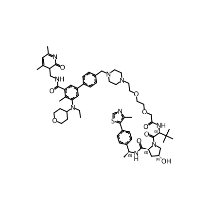 CCN(c1cc(-c2ccc(CN3CCN(CCOCCOCC(=O)N[C@H](C(=O)N4C[C@H](O)C[C@H]4C(=O)N[C@@H](C)c4ccc(-c5scnc5C)cc4)C(C)(C)C)CC3)cc2)cc(C(=O)NCC2C(=O)N=C(C)C=C2C)c1C)C1CCOCC1